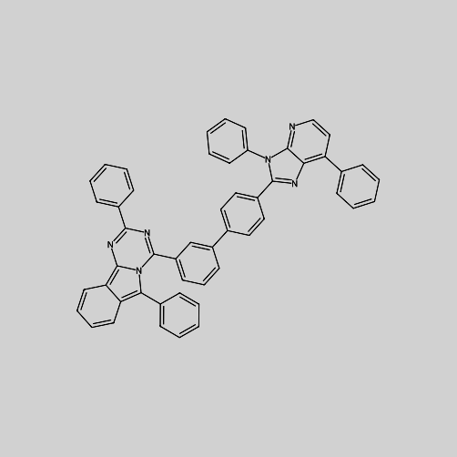 c1ccc(-c2nc(-c3cccc(-c4ccc(-c5nc6c(-c7ccccc7)ccnc6n5-c5ccccc5)cc4)c3)n3c(-c4ccccc4)c4ccccc4c3n2)cc1